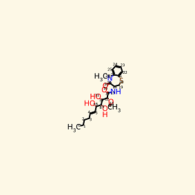 CCCC/C=C/[C@@H](O)[C@H](O)[C@@H](O)[C@@H](OC)C(=O)N[C@H]1CSc2ccccc2N(C)C1=O